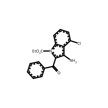 CCOC(=O)n1c(C(=O)c2ccccc2)c(N)c2c(Cl)cccc21